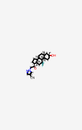 C[C@@]1(O)CC[C@H]2[C@H](CC[C@@H]3[C@@H]2C(F)(F)C[C@]2(C)[C@@H](C(=O)Cn4cc(C#N)cn4)CC[C@@H]32)C1